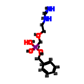 N=CNCCOCP(=O)(O)OCc1ccccc1